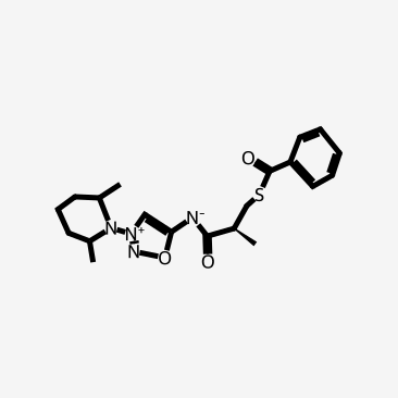 CC1CCCC(C)N1[n+]1cc([N-]C(=O)[C@H](C)CSC(=O)c2ccccc2)on1